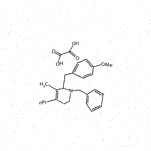 CCCC1=C(C)C(Cc2ccc(OC)cc2)N(Cc2ccccc2)CC1.O=C(O)C(=O)O